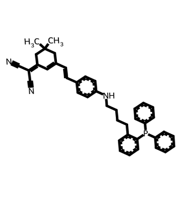 CC1(C)CC(/C=C/c2ccc(NCCCCc3ccccc3P(c3ccccc3)c3ccccc3)cc2)=CC(=C(C#N)C#N)C1